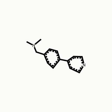 CN(C)Cc1ccc(-c2ccncc2)cc1